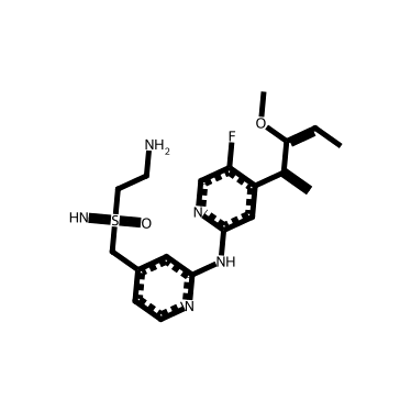 C=C(/C(=C\C)OC)c1cc(Nc2cc(CS(=N)(=O)CCN)ccn2)ncc1F